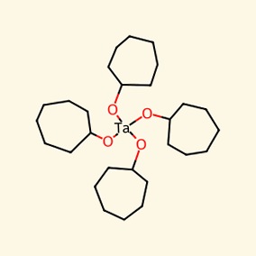 C1CCCC([O][Ta]([O]C2CCCCCC2)([O]C2CCCCCC2)[O]C2CCCCCC2)CC1